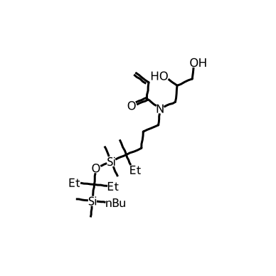 C=CC(=O)N(CCCC(C)(CC)[Si](C)(C)OC(CC)(CC)[Si](C)(C)CCCC)CC(O)CO